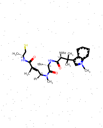 CN[C@H](C(=O)N[C@H](C(=O)N(C)[C@H](/C=C(\C)C(=O)N[C@H](C)CS)C(C)C)C(C)(C)C)C(C)(C)c1cn(C)c2ccccc12